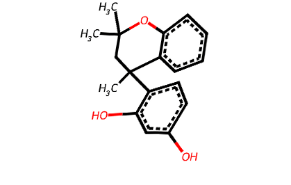 CC1(C)CC(C)(c2ccc(O)cc2O)c2ccccc2O1